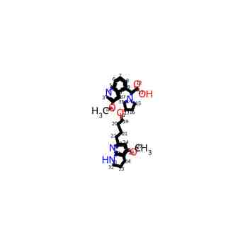 COc1cnc2cccc(C(C(=O)O)N3CCC(OCCCCc4cc(OC)c5c(n4)NCCC5)C3)c2c1